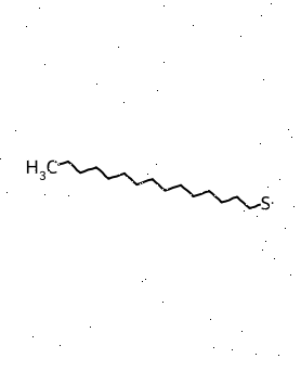 CCCCCCCCCCCCCCC[S]